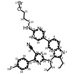 CCc1nc2ccc(-c3cnc(NSCCOBr)nc3)cn2c1N(CC)c1nc(-c2ccc(F)cc2)c(C#N)s1